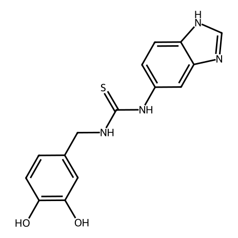 Oc1ccc(CNC(=S)Nc2ccc3[nH]cnc3c2)cc1O